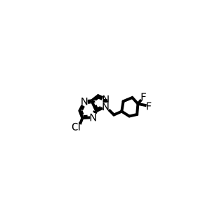 FC1(F)CCC(Cn2ncc3ncc(Cl)nc32)CC1